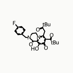 CC(C)(C)C(=O)Cc1c(C(=O)C(C)(C)C)c(=O)c(O)c2n1CCN(Cc1ccc(F)cc1)C2=O